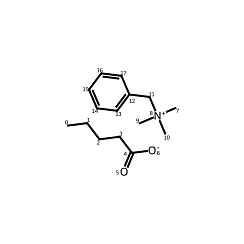 CCCCC(=O)[O-].C[N+](C)(C)Cc1ccccc1